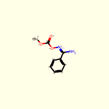 CC(C)(C)OC(=O)O/N=C(/N)c1ccccc1